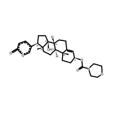 C[C@]12CC[C@H](OC(=O)N3CCOCC3)C=C1CC[C@@H]1[C@@H]2CC[C@]2(C)[C@@H](c3ccc(=O)oc3)CC[C@]12O